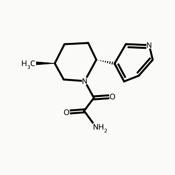 C[C@H]1CC[C@H](c2cccnc2)N(C(=O)C(N)=O)C1